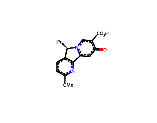 COc1ccc2c(n1)-c1cc(=O)c(C(=O)O)cn1[C@@H]2C(C)C